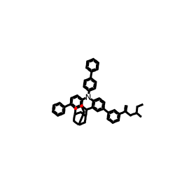 C=C(CC(C)CC)c1cccc(-c2ccc(N(c3ccc(-c4ccccc4)cc3)c3ccc(-c4ccccc4)cc3)c(C3C4CC5CC(C4)CC3C5)c2)c1